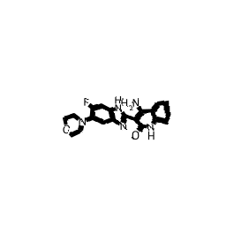 Nc1c(-c2nc3cc(N4CCOCC4)c(F)cc3[nH]2)c(=O)[nH]c2ccccc12